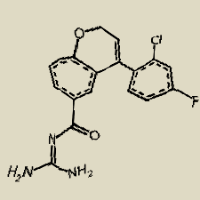 NC(N)=NC(=O)c1ccc2c(c1)C(c1ccc(F)cc1Cl)=CCO2